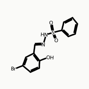 O=S(=O)(NN=Cc1cc(Br)ccc1O)c1ccccc1